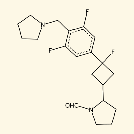 O=CN1CCCC1C1CC(F)(c2cc(F)c(CN3CCCC3)c(F)c2)C1